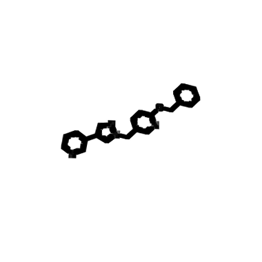 c1ccc(COc2ccc(Cn3cc(-c4cccnc4)cn3)cn2)cc1